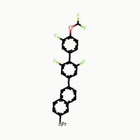 CCCc1ccc2cc(-c3cc(F)c(-c4ccc(OC(F)F)c(F)c4)c(F)c3)ccc2c1